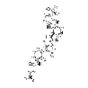 CCS(=O)(=O)N1CC[C@H](Nc2c(Br)cnc3nc(-c4cc(C)n(-c5cccc(NC(=O)CCN(C)C)c5C)c4C)[nH]c23)C1